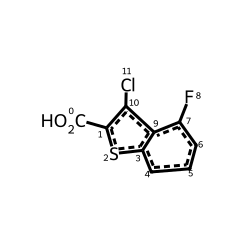 O=C(O)c1sc2cccc(F)c2c1Cl